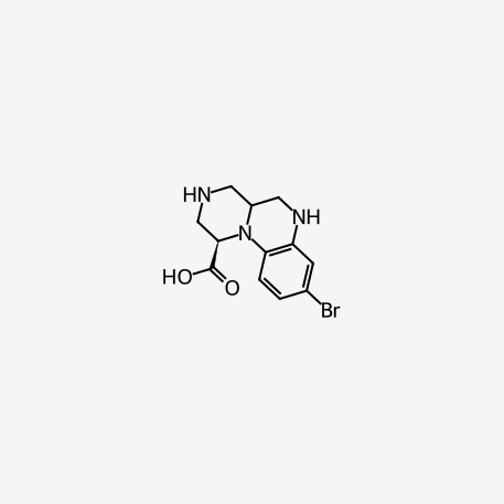 O=C(O)[C@H]1CNCC2CNc3cc(Br)ccc3N21